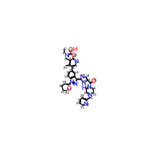 CCN(Cc1cncc(-c2ccc3c(c2)c(-c2ncc(C(=O)N4CCN(Cc5ccccn5)CC4)[nH]2)nn3C2CCCCO2)c1C)C(=O)O